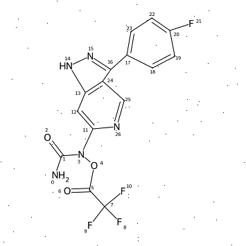 NC(=O)N(OC(=O)C(F)(F)F)c1cc2[nH]nc(-c3ccc(F)cc3)c2cn1